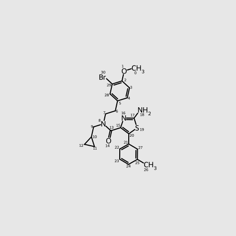 COc1ccc(CCN(CC2CC2)C(=O)c2nc(N)sc2-c2cccc(C)c2)cc1Br